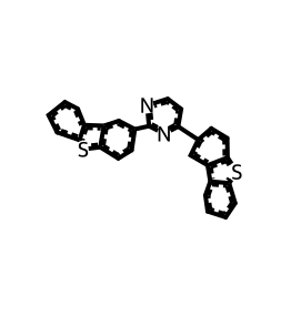 c1ccc2c(c1)sc1ccc(-c3ccnc(-c4ccc5sc6ccccc6c5c4)n3)cc12